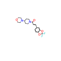 O=C(/C=C/c1ccc2c(c1)OC(F)(F)O2)N1CCC(N2CCOCC2)CC1